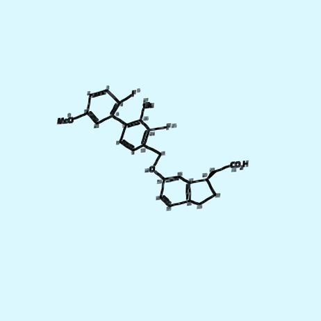 COc1ccc(F)c(-c2ccc(COc3ccc4c(c3)[C@@H](CC(=O)O)CC4)c(F)c2C(C)(C)C)c1